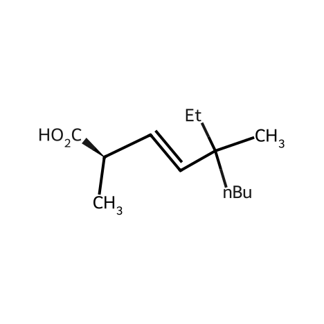 CCCCC(C)(/C=C/[C@@H](C)C(=O)O)CC